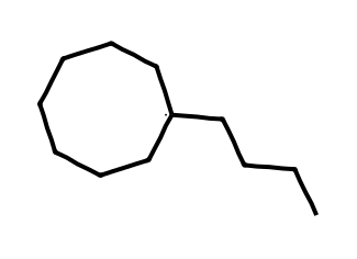 CCCC[C]1CCCCCCC1